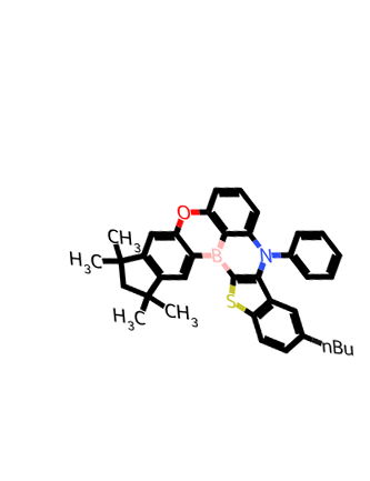 CCCCc1ccc2sc3c(c2c1)N(c1ccccc1)c1cccc2c1B3c1cc3c(cc1O2)C(C)(C)CC3(C)C